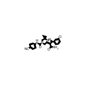 N#Cc1ccc(NC(=O)N2Cc3c(C(N)=O)c(-c4cccc(Cl)c4)nn3C3(CC3)C2)cc1